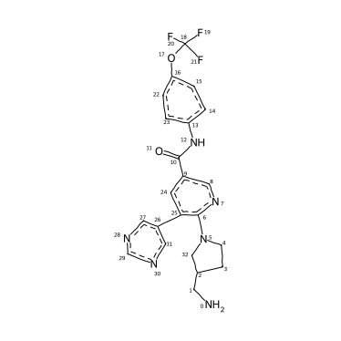 NCC1CCN(c2ncc(C(=O)Nc3ccc(OC(F)(F)F)cc3)cc2-c2cncnc2)C1